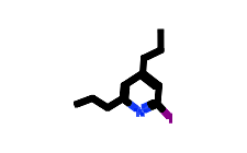 CCCc1cc(I)nc(CCC)c1